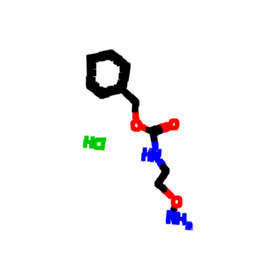 Cl.NOCCNC(=O)OCc1ccccc1